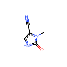 Cn1c(C#N)[c][nH]c1=O